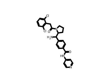 NC(c1ccc(C(=O)Nc2ccncc2)cc1)C1CCCN1C(=O)Cc1c(Cl)cccc1Cl